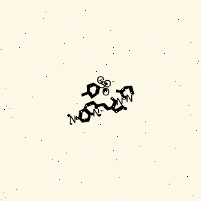 Cc1ccc(S(=O)(=O)[O-])cc1.Cc1cccnc1-n1c(C)cc(C=Cc2ccc3cc(N(C)C)ccc3[n+]2C)c1C